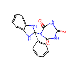 O=c1[nH]c(=O)n(C2(c3ccccc3)Nc3ccccc3N2)c(=O)[nH]1